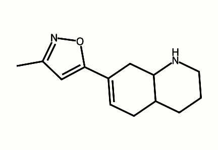 Cc1cc(C2=CCC3CCCNC3C2)on1